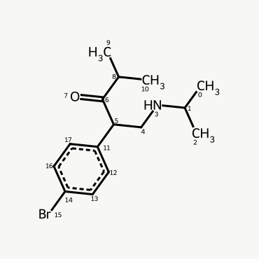 CC(C)NCC(C(=O)C(C)C)c1ccc(Br)cc1